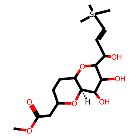 COC(=O)CC1CCC2OC(C(O)/C=C/[Si](C)(C)C)C(O)C(O)[C@H]2O1